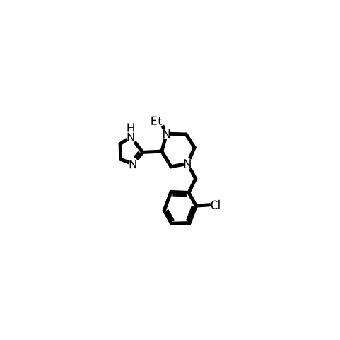 CCN1CCN(Cc2ccccc2Cl)CC1C1=NCCN1